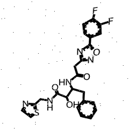 O=C(Cc1noc(-c2ccc(F)c(F)c2)n1)NC(Cc1ccccc1)C(O)C(=O)NCc1nccs1